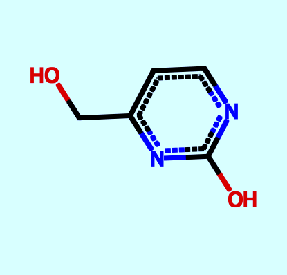 OCc1ccnc(O)n1